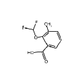 Cc1cccc(C(=O)O)c1OC(F)F